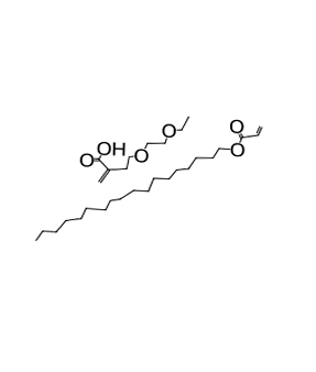 C=C(CCOCCOCC)C(=O)O.C=CC(=O)OCCCCCCCCCCCCCCCCCC